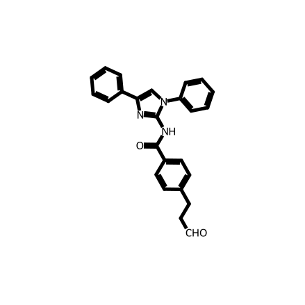 O=CCCc1ccc(C(=O)Nc2nc(-c3ccccc3)cn2-c2ccccc2)cc1